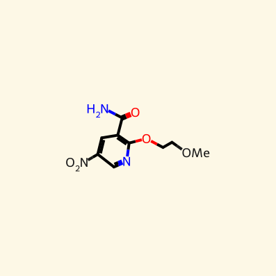 COCCOc1ncc([N+](=O)[O-])cc1C(N)=O